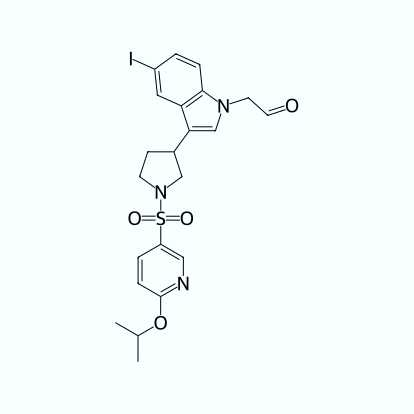 CC(C)Oc1ccc(S(=O)(=O)N2CCC(c3cn(CC=O)c4ccc(I)cc34)C2)cn1